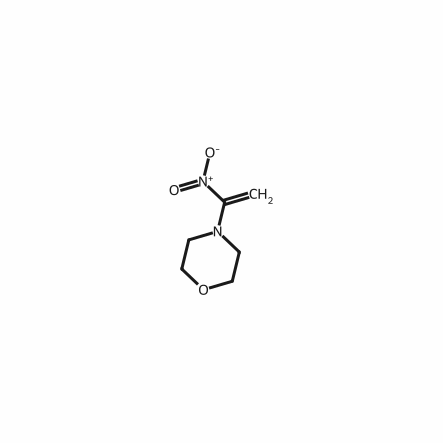 C=C(N1CCOCC1)[N+](=O)[O-]